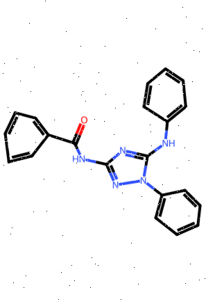 O=C(Nc1nc(Nc2ccccc2)n(-c2ccccc2)n1)c1ccccc1